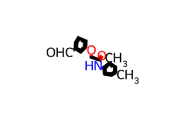 Cc1ccc(NC(=O)COc2cccc(C=O)c2)c(C)c1